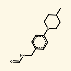 CC1CCN(c2ccc(CNC=O)cc2)CC1